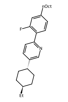 CCCCCCCCc1ccc(-c2ccc([C@H]3CC[C@H](CC)CC3)cn2)c(F)c1